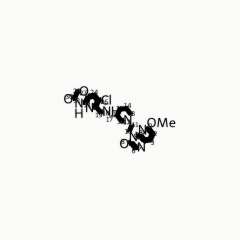 COc1ccc2ncc(=O)n(CCN3CCC[C@@H](CNCc4nc5c(cc4Cl)OCC(=O)N5)C3)c2n1